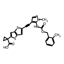 Cc1ccccc1COC(=O)Nc1c(C#Cc2cc3sc(C4(C(=O)O)CC4)cc3s2)cnn1C